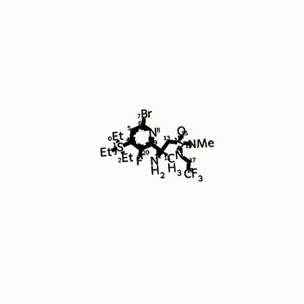 CCS(CC)(CC)c1cc(Br)nc([C@@](C)(N)CS(=O)(=NCC(F)(F)F)NC)c1F